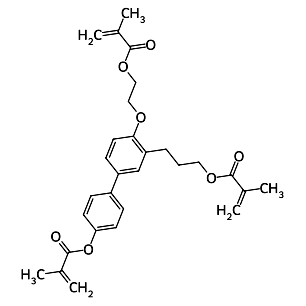 C=C(C)C(=O)OCCCc1cc(-c2ccc(OC(=O)C(=C)C)cc2)ccc1OCCOC(=O)C(=C)C